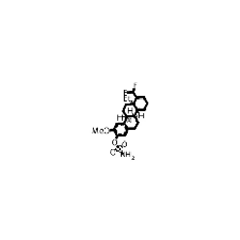 CC[C@]12CC[C@@H]3c4cc(OC)c(OS(N)(=O)=O)cc4CC[C@H]3[C@@H]1CCCC2C(F)F